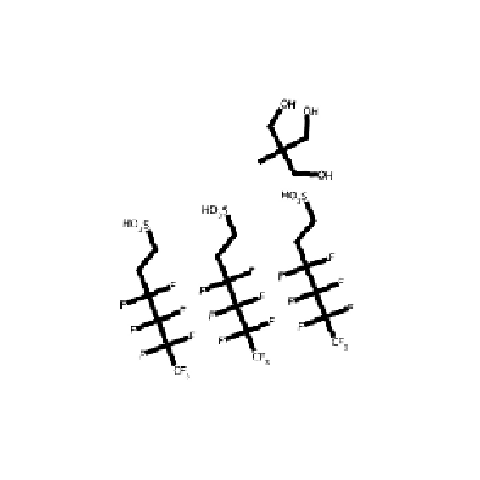 CC(CO)(CO)CO.O=S(=O)(O)CCC(F)(F)C(F)(F)C(F)(F)C(F)(F)F.O=S(=O)(O)CCC(F)(F)C(F)(F)C(F)(F)C(F)(F)F.O=S(=O)(O)CCC(F)(F)C(F)(F)C(F)(F)C(F)(F)F